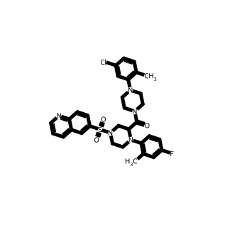 Cc1ccc(Cl)cc1N1CCN(C(=O)C2CN(S(=O)(=O)c3ccc4ncccc4c3)CCN2c2ccc(F)cc2C)CC1